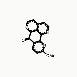 COc1ccc2c(n1)-c1nccc3ccnc(c13)C2=O